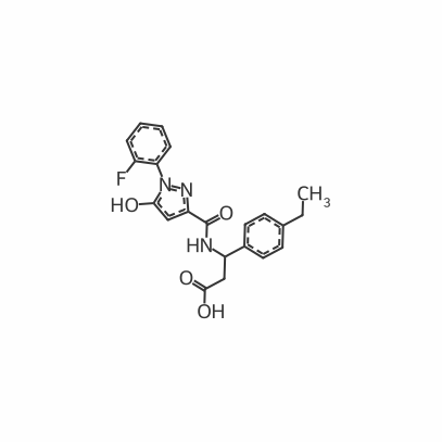 CCc1ccc(C(CC(=O)O)NC(=O)c2cc(O)n(-c3ccccc3F)n2)cc1